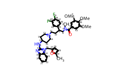 COc1cc(C(=O)N(C)CC(CCN2CCC(Nc3nc4ccccc4n3Cc3ccc(C)o3)CC2)c2ccc(F)c(F)c2)cc(OC)c1OC